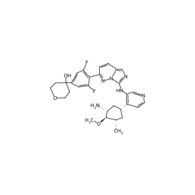 CO[C@H]1[C@H](N)C[C@H](c2ccncc2Nc2ncc3ccc(-c4c(F)cc(C5(O)CCOCC5)cc4F)nn23)C[C@@H]1C